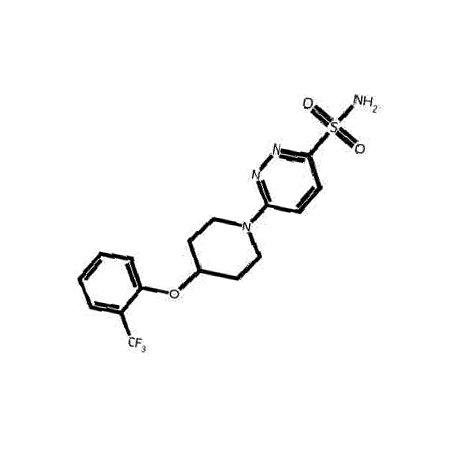 NS(=O)(=O)c1ccc(N2CCC(Oc3ccccc3C(F)(F)F)CC2)nn1